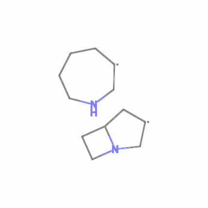 [CH]1CC2CCN2C1.[CH]1CCCCNC1